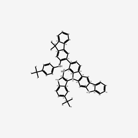 CC(C)(C)c1ccc(Nc2cc3c(cc2-c2ccc4c5cc6c(cc5n5c4c2Bc2sc4ccc(C(C)(C)C)cc4c2-5)sc2ccccc26)-c2ccccc2C3(C)C)cc1